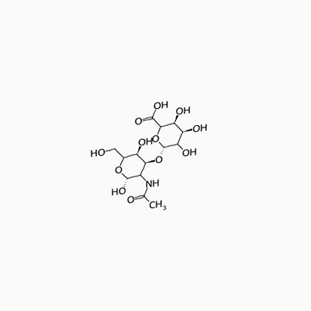 CC(=O)NC1[C@H](O)OC(CO)[C@@H](O)[C@H]1O[C@@H]1OC(C(=O)O)[C@@H](O)[C@@H](O)C1O